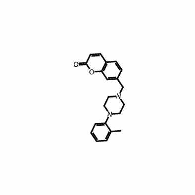 Cc1ccccc1N1CCN(Cc2ccc3ccc(=O)oc3c2)CC1